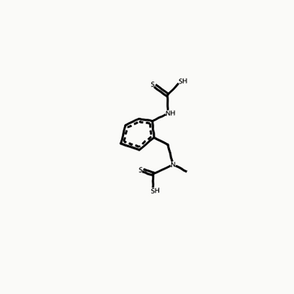 CN(Cc1ccccc1NC(=S)S)C(=S)S